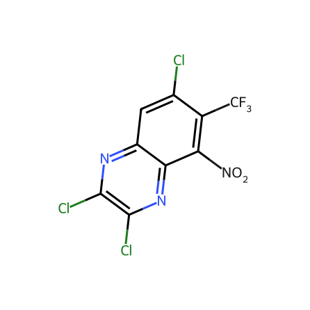 O=[N+]([O-])c1c(C(F)(F)F)c(Cl)cc2nc(Cl)c(Cl)nc12